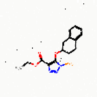 CCOC(=O)c1nnn(P)c1OC1CCc2ccccc2C1